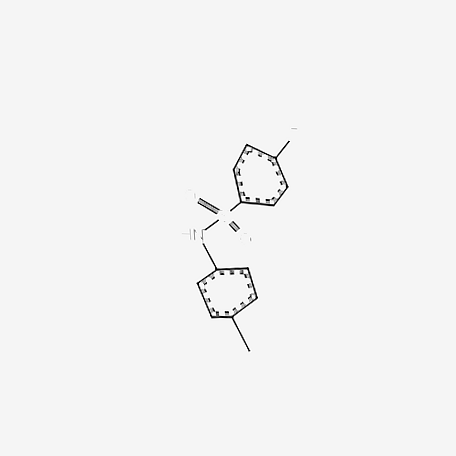 Cc1ccc(NS(=O)(=O)c2ccc(F)cc2)cc1